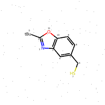 CC(C)(C)c1nc2cc(CS)ccc2o1